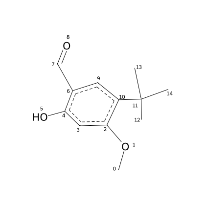 COc1cc(O)c(C=O)cc1C(C)(C)C